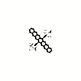 C[Si](C)(C)[Si](C#Cc1c2cc3cc4ccccc4cc3cc2c(C#CS([Si](C)(C)C)([Si](C)(C)C)S(C)(C)C)c2cc3cc4ccccc4cc3cc12)([Si](C)(C)C)[Si](C)(C)C